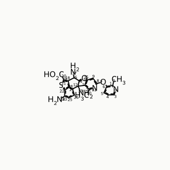 Cc1ncccc1Oc1ccc(C2(N)C(=O)C(N)c3c(C(=O)O)sc4c(N)ccc2c34)c(C)n1